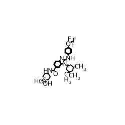 C[C@@H]1C[C@H](n2c(Nc3ccc(OC(F)(F)F)cc3)nc3ccc(C(=O)NC4CCS(O)(O)CC4)cc32)CC(C)(C)C1